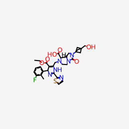 CCOC(=O)C1=C(CN2CCN3C(=O)N(C45CC(CO)(C4)C5)C[C@@H]3C2C(=O)O)NC(c2nccs2)=NC1c1cccc(F)c1C